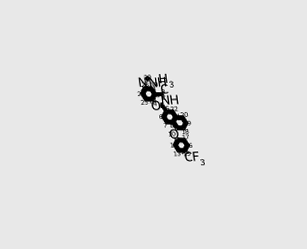 C[C@@H](NC(=O)c1ccc2c(Oc3ccc(C(F)(F)F)cc3)cccc2c1)c1cccc2nc[nH]c12